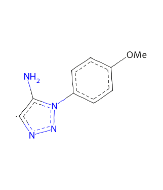 COc1ccc(-n2nn[c]c2N)cc1